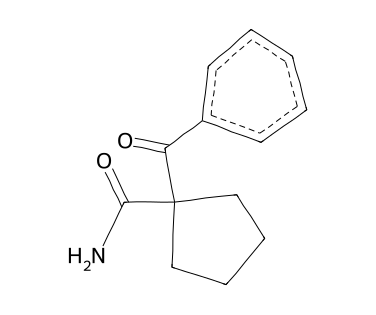 NC(=O)C1(C(=O)c2ccccc2)CCCC1